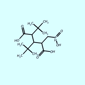 CC(C)(C)C(C(=O)O)C(C(C[PH](=O)O)C(=O)O)C(C)(C)C